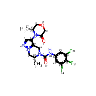 C[C@H]1Cn2ncc(N3C(=O)COC[C@@H]3C)c2CN1C(=O)Nc1cc(F)c(F)c(F)c1